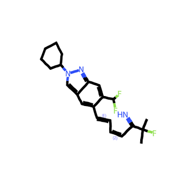 CC(C)(F)C(=N)/C=C\C=C\c1cc2cn(C3CCCCC3)nc2cc1C(F)F